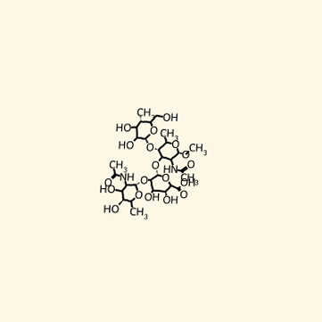 CO[C@@H]1OC(C)[C@@H](O[C@@H]2OC(CO)[C@@H](C)C(O)C2O)C(O[C@@H]2OC(C(=O)O)[C@@H](O)C(O)C2O[C@@H]2OC(C)[C@@H](O)C(O)C2NC(C)=O)C1NC(C)=O